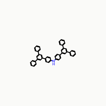 c1ccc(-c2cc(-c3ccccc3)cc(-c3ccc(Nc4ccc(-c5cc(-c6ccccc6)cc(-c6ccccc6)c5)cc4)cc3)c2)cc1